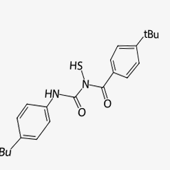 CC(C)(C)c1ccc(NC(=O)N(S)C(=O)c2ccc(C(C)(C)C)cc2)cc1